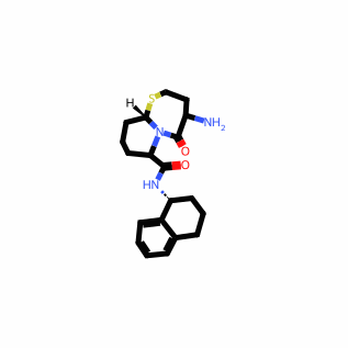 NC1CCS[C@H]2CCCC(C(=O)N[C@@H]3CCCc4ccccc43)N2C1=O